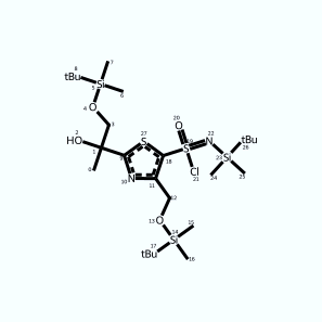 CC(O)(CO[Si](C)(C)C(C)(C)C)c1nc(CO[Si](C)(C)C(C)(C)C)c(S(=O)(Cl)=N[Si](C)(C)C(C)(C)C)s1